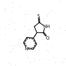 O=C1NC(=S)CC1c1ccncc1